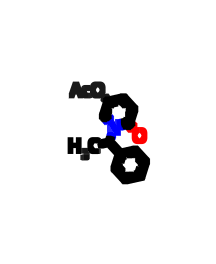 CC(=O)Oc1ccc(=O)n(C(C)c2ccccc2)c1